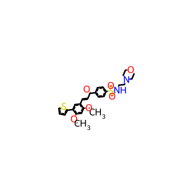 COc1cc(OC)c(-c2cccs2)cc1C=CC(=O)c1ccc(S(=O)(=O)NCCN2CCOCC2)cc1